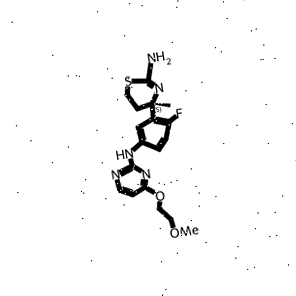 COCCOc1ccnc(Nc2ccc(F)c([C@]3(C)CCSC(N)=N3)c2)n1